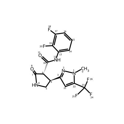 Cn1nc([C@H]2CNC(=O)[C@@H]2C(=O)Nc2cccc(F)c2F)cc1C(F)(F)F